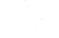 CCCOC(=O)C=Cc1ccccc1OC(C)(C)C